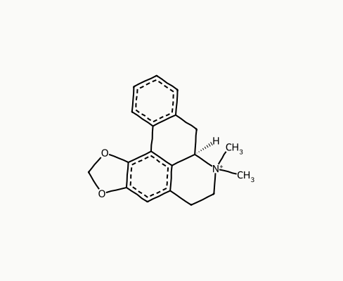 C[N+]1(C)CCc2cc3c(c4c2[C@H]1Cc1ccccc1-4)OCO3